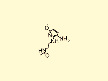 COc1ccc(N)c(NCCNC(C)=O)n1